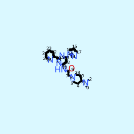 CN(C)C1CCN(CC(=O)Nc2cc(-n3cccn3)nc(-c3ccccn3)n2)CC1